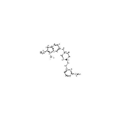 COc1cccc(CCN2CCN(Cc3ccc4[nH]c(C)c(C)c4c3)CC2)c1